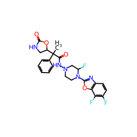 CC(C(=O)NN1CCN(c2nc3ccc(F)c(F)c3o2)C(F)C1)(c1ccccc1)C1CNC(=O)O1